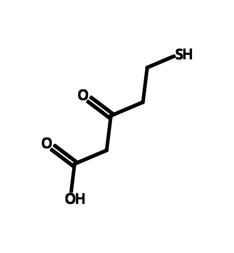 O=C(O)CC(=O)CCS